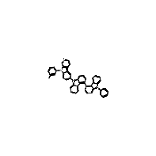 Cc1cccc(-n2c3ccc(-n4c5ccccc5c5c(-c6cccc7c6c6ccccc6n7-c6ccccc6)cccc54)cc3c3ccncc32)c1